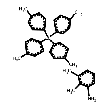 Cc1ccc([B-](c2ccc(C)cc2)(c2ccc(C)cc2)c2ccc(C)cc2)cc1.Cc1cccc([NH3+])c1C